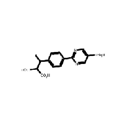 CCCCCCCCC(C(=O)O)C(C)c1ccc(-c2ncc(CCCCCCC)cn2)cc1